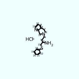 Cl.NC(CCN1CCc2cccnc2C1)CSc1ccccc1